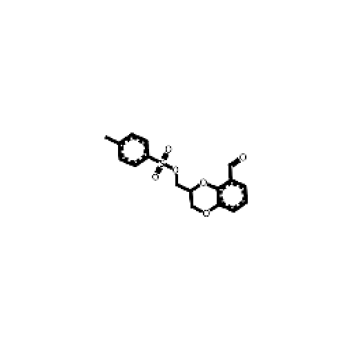 Cc1ccc(S(=O)(=O)OCC2COc3cccc(C=O)c3O2)cc1